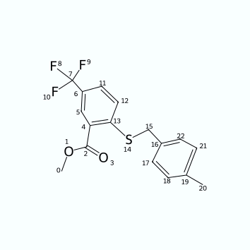 COC(=O)c1cc(C(F)(F)F)ccc1SCc1ccc(C)cc1